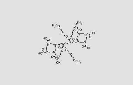 COCCOCCOCC(COCCOCCO)N(CCN(CC(O)CN1CCN(CC(=O)O)CCN(CC(=O)O)CCN(CC(=O)O)CC1)C(COCCOCCOC)COCCOCCOC)CC(O)CN1CCN(CC(=O)O)CCN(CC(=O)O)CCN(CC(=O)O)CC1